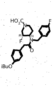 CC(C)COc1ccc(CC(=O)N(Cc2ccc(F)cc2)[C@H]2CCN(C(=O)O)C[C@H]2F)cc1